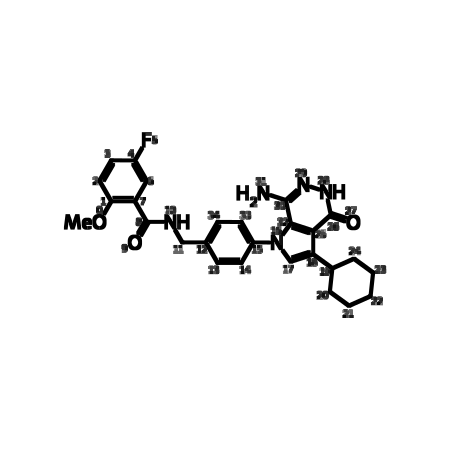 COc1ccc(F)cc1C(=O)NCc1ccc(-n2cc(C3CCCCC3)c3c(=O)[nH]nc(N)c32)cc1